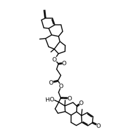 C=C1C=C2CCC3C(C(C)CC4(C)C(OC(=O)CCC(=O)OCC(=O)C5(O)CCC6C7CCC8=CC(=O)C=CC8(C)C7C(=O)CC65C)CCC34)C2CC1